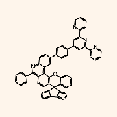 c1ccc(-c2nc3ccc(-c4ccc(-c5cc(-c6ccccn6)nc(-c6ccccn6)c5)cc4)cc3c3c4c(ccc23)C2(c3ccccc3O4)c3ccccc3-c3ccccc32)cc1